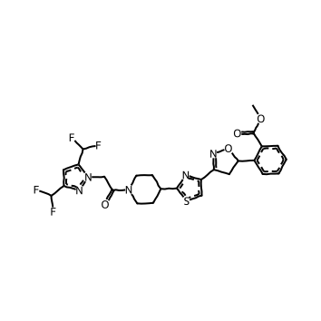 COC(=O)c1ccccc1C1CC(c2csc(C3CCN(C(=O)Cn4nc(C(F)F)cc4C(F)F)CC3)n2)=NO1